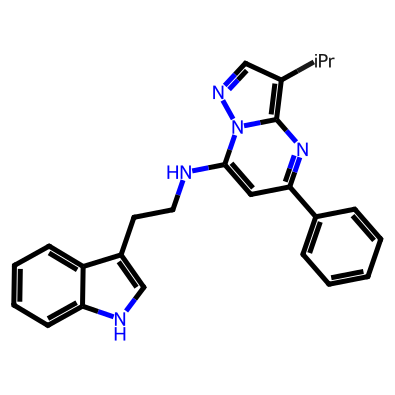 CC(C)c1cnn2c(NCCc3c[nH]c4ccccc34)cc(-c3ccccc3)nc12